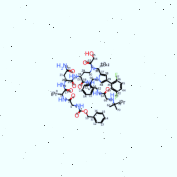 CC(C)C(NC(=O)CNC(=O)OCc1ccccc1)C(=O)N[C@@H](CC(N)=O)C(=O)N[C@@H](CCN(C(=O)CO)[C@@H](c1cc(-c2cc(F)ccc2F)cn1Cc1ccccc1)C(C)(C)C)C(=O)NCCNC(=O)CNC(C)(C)C(C)C